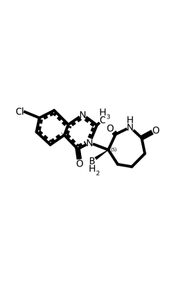 B[C@]1(n2c(C)nc3cc(Cl)ccc3c2=O)CCCC(=O)NC1=O